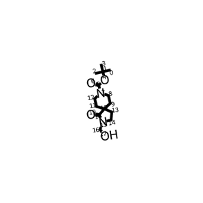 CC(C)(C)OC(=O)N1CCC2(CC1)CCN(CO)C2=O